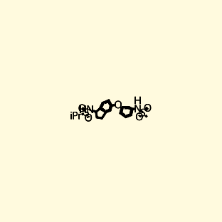 CC(C)S(=O)(=O)NC1CCc2cc(Oc3cccc(NS(C)(=O)=O)c3)ccc21